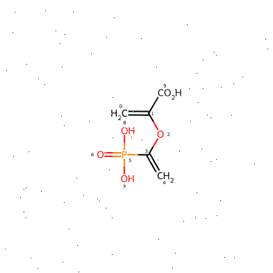 C=C(OC(=C)P(=O)(O)O)C(=O)O